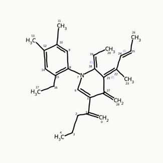 C=C(CCC)C1=CN(c2cc(C)c(C)cc2CC)C(=C/C)/C(=C(C)\C=C\C)C1=C